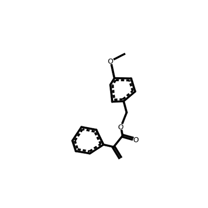 C=C(C(=O)OCc1ccc(OC)cc1)c1ccccc1